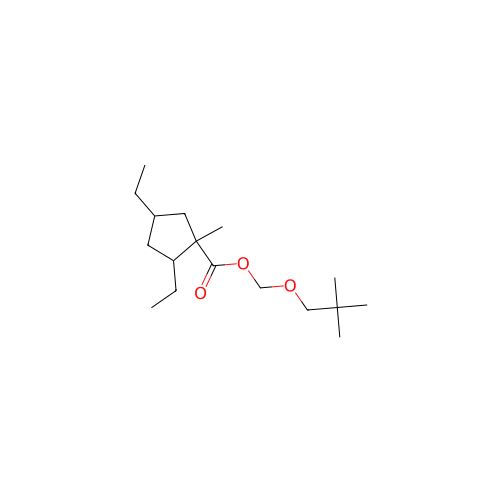 CCC1CC(CC)C(C)(C(=O)OCOCC(C)(C)C)C1